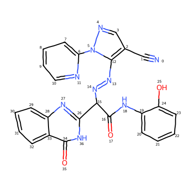 N#Cc1cnn(-c2ccccn2)c1N=NC(C(=O)Nc1ccccc1O)c1nc2ccccc2c(=O)[nH]1